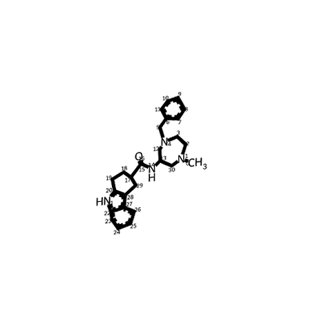 CN1CCN(Cc2ccccc2)CC(NC(=O)C2CCc3[nH]c4ccccc4c3C2)C1